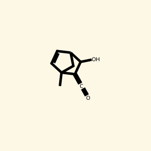 CC12C=CC(C1)C(O)C2=C=O